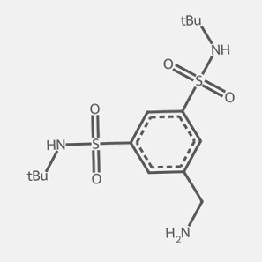 CC(C)(C)NS(=O)(=O)c1cc(CN)cc(S(=O)(=O)NC(C)(C)C)c1